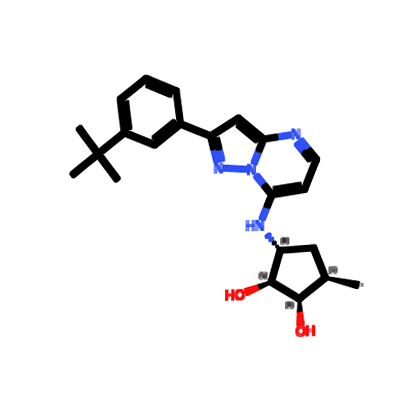 [CH2][C@@H]1C[C@@H](Nc2ccnc3cc(-c4cccc(C(C)(C)C)c4)nn23)[C@H](O)[C@@H]1O